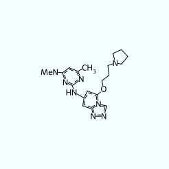 CNc1cc(C)nc(Nc2cc(OCCCN3CCCC3)n3cnnc3c2)n1